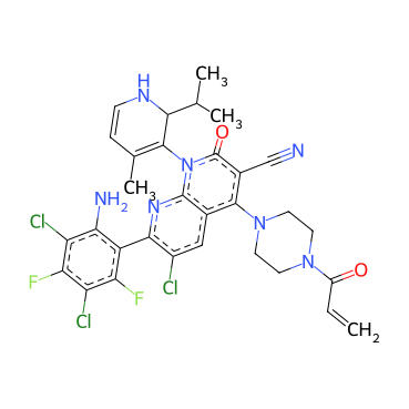 C=CC(=O)N1CCN(c2c(C#N)c(=O)n(C3=C(C)C=CNC3C(C)C)c3nc(-c4c(N)c(Cl)c(F)c(Cl)c4F)c(Cl)cc23)CC1